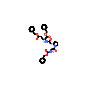 O=C(C[C@@H]1CCCN1C(=O)CNC(=O)OCc1ccccc1)N[C@@H](CCC(=O)OCc1ccccc1)C(=O)OCc1ccccc1